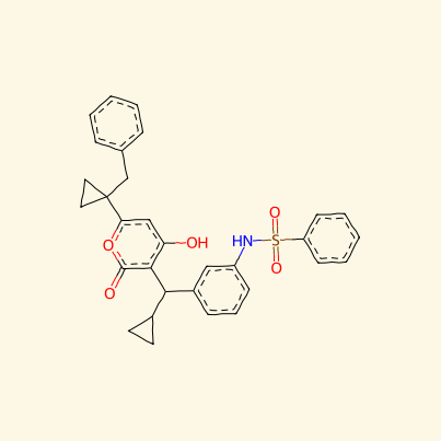 O=c1oc(C2(Cc3ccccc3)CC2)cc(O)c1C(c1cccc(NS(=O)(=O)c2ccccc2)c1)C1CC1